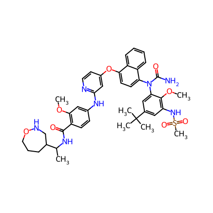 COc1cc(Nc2cc(Oc3ccc(N(C(N)=O)c4cc(C(C)(C)C)cc(NS(C)(=O)=O)c4OC)c4ccccc34)ccn2)ccc1C(=O)NC(C)C1CCCONC1